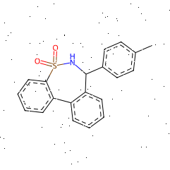 Cc1ccc(C2NS(=O)(=O)c3ccccc3-c3ccccc32)cc1